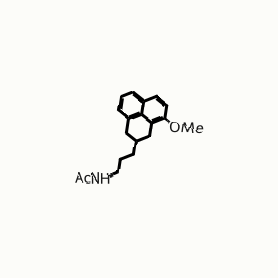 COc1ccc2cccc3c2c1CC(CCCNC(C)=O)C3